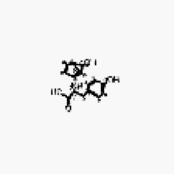 NC(Cc1ccc(O)cc1)C(=O)O.OC1CC2C=CC1C2